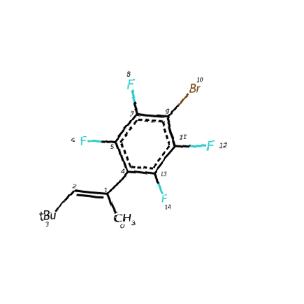 C/C(=C\C(C)(C)C)c1c(F)c(F)c(Br)c(F)c1F